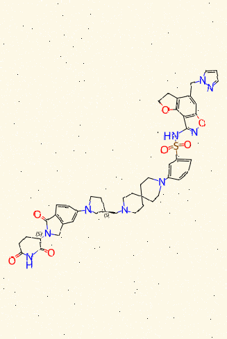 O=C1CC[C@H](N2Cc3cc(N4CC[C@@H](CN5CCC6(CC5)CCN(c5cccc(S(=O)(=O)Nc7noc8cc(Cn9cccn9)c9c(c78)OCC9)c5)CC6)C4)ccc3C2=O)C(=O)N1